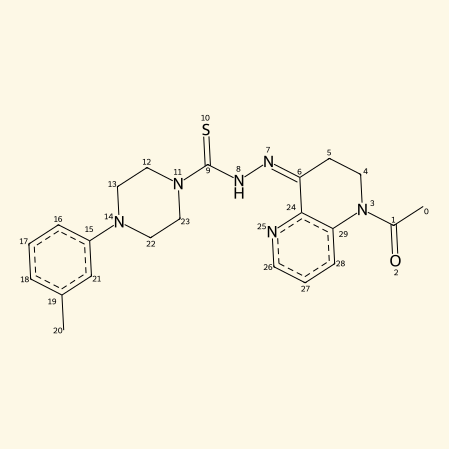 CC(=O)N1CC/C(=N/NC(=S)N2CCN(c3cccc(C)c3)CC2)c2ncccc21